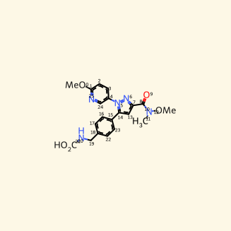 COc1ccc(-n2nc(C(=O)N(C)OC)cc2-c2ccc(CNC(=O)O)cc2)cn1